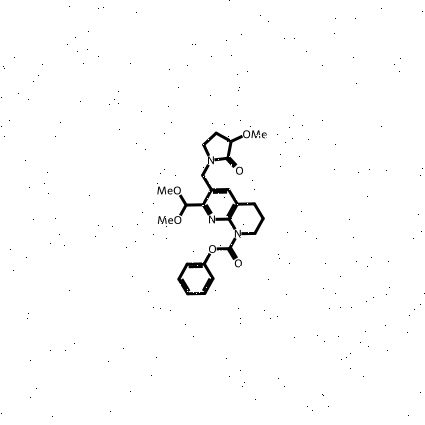 COC1CCN(Cc2cc3c(nc2C(OC)OC)N(C(=O)Oc2ccccc2)CCC3)C1=O